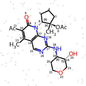 CC(=O)O[C@]1(C)CCC[C@H]1n1c(=O)c(C(C)=O)c(C)c2cnc(N[C@@H]3CCOC[C@H]3O)nc21